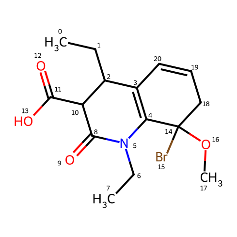 CCC1C2=C(N(CC)C(=O)C1C(=O)O)C(Br)(OC)CC=C2